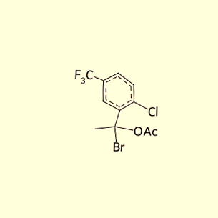 CC(=O)OC(C)(Br)c1cc(C(F)(F)F)ccc1Cl